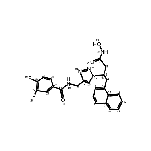 O=C(C[C@@H](Cc1cccc2ccccc12)n1cc(CNC(=O)c2ccc(F)c(F)c2)nn1)NO